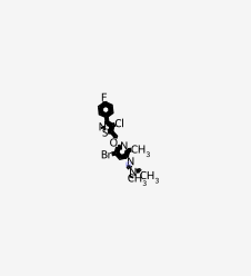 CCN(C)/C=N/c1cc(Br)c(OCc2snc(-c3ccc(F)cc3)c2Cl)nc1C